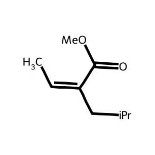 CC=C(CC(C)C)C(=O)OC